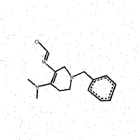 CN(C)C1=C(/N=C/Cl)CN(Cc2ccccc2)CC1